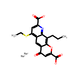 CCCc1c2nc(C(=O)[O-])cc(SCC)c2cc2c(=O)cc(C(=O)[O-])oc12.[Na+].[Na+]